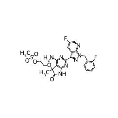 CC1(OCCOS(C)(=O)=O)C(=O)Nc2nc(-c3nn(Cc4ccccc4F)c4ncc(F)cc34)nc(N)c21